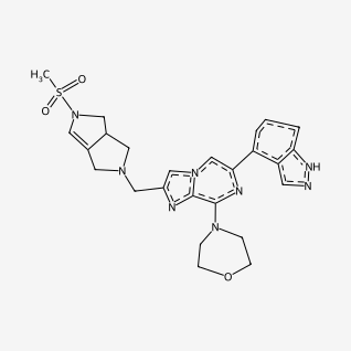 CS(=O)(=O)N1C=C2CN(Cc3cn4cc(-c5cccc6[nH]ncc56)nc(N5CCOCC5)c4n3)CC2C1